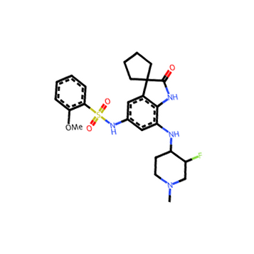 COc1ccccc1S(=O)(=O)Nc1cc(NC2CCN(C)CC2F)c2c(c1)C1(CCCC1)C(=O)N2